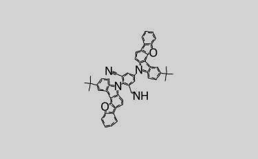 CC(C)(C)c1ccc2c(c1)c1c3oc4ccccc4c3ccc1n2-c1cc(C#N)c(-n2c3ccc(C(C)(C)C)cc3c3c4oc5ccccc5c4ccc32)c(C=N)c1